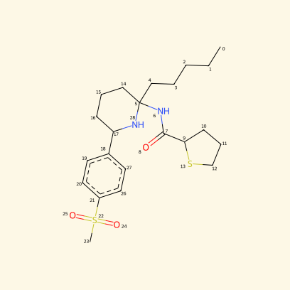 CCCCCC1(NC(=O)C2CCCS2)CCCC(c2ccc(S(C)(=O)=O)cc2)N1